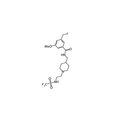 COc1cc(CI)cc(C(=O)NCC2CCN(CCNS(=O)(=O)C(F)(F)F)CC2)c1